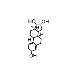 C[C@]12CC[C@@H]3C4=CCC(O)C=C4CC[C@H]3[C@@H]1C[C@@H](O)[C@@H]2O